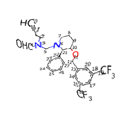 C#CCN(C=O)CN1CCC[C@@H](OCc2cc(C(F)(F)F)cc(C(F)(F)F)c2)[C@H]1c1ccccc1